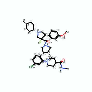 CC[C@H]1CN(C(=O)[C@]2(F)CN([C@H]3CC[C@H](C)CC3)C[C@H]2c2ccc(OC)cc2)C[C@@H]1c1ccc(Cl)cc1N1CCC(C(=O)N(C)C)CC1